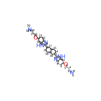 CN(C)CCCOC1=CCC2N=C(c3ccc4cc(-c5nc6ccc(OCCCN(C)C)cc6[nH]5)ccc4c3)NC2=C1